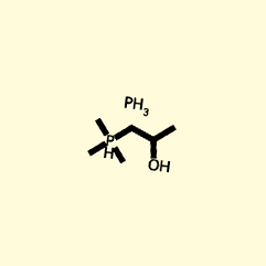 CC(O)C[PH](C)(C)C.P